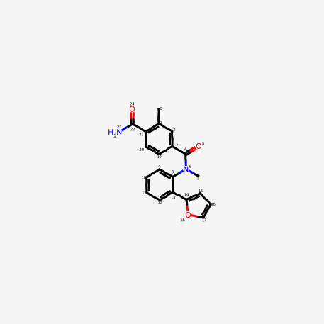 Cc1cc(C(=O)N(C)c2ccccc2-c2ccco2)ccc1C(N)=O